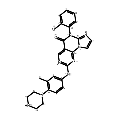 Cc1cc(Nc2ncc3c(=O)n(-c4ccccc4Cl)c4nccn4c3n2)ccc1N1CCNCC1